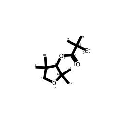 CCC(C)(C)C(=O)OC1C(C)(C)COC1(C)C